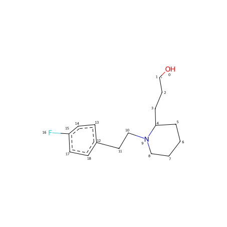 O[CH]CCC1CCCCN1CCc1ccc(F)cc1